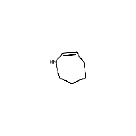 [CH]1CCCC=CN1